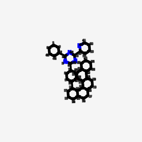 c1ccc(-c2nc(-c3ccc(-c4cccc5ccc6ccc7c8ccccc8ccc7c6c45)cc3)nc(-c3ccccn3)n2)cc1